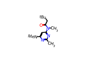 CNc1cc(N(C)C(=O)CC(C)(C)C)nc(C)n1